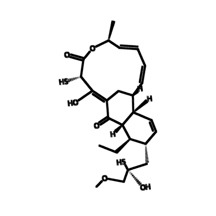 CC[C@H]1[C@@H]2C(=O)/C3=C(\O)[C@H](S)C(=O)O[C@@H](C)/C=C/C=C\[C@@H](C3)[C@@H]2C=C[C@@H]1C[C@](O)(S)COC